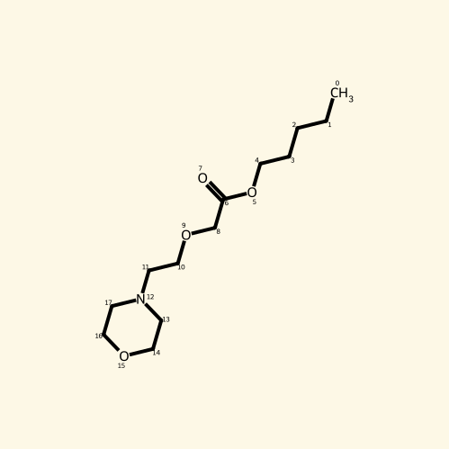 CCCCCOC(=O)COCCN1CCOCC1